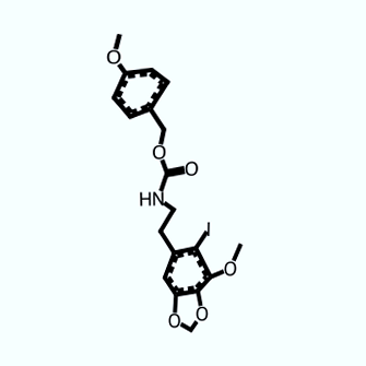 COc1ccc(COC(=O)NCCc2cc3c(c(OC)c2I)OCO3)cc1